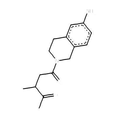 CC(=O)C(C)CC(=O)N1CCc2cc(N)ccc2C1